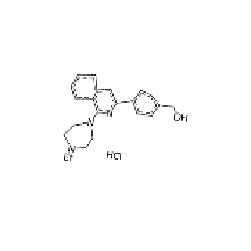 CCN1CCN(c2nc(-c3ccc(CO)cc3)cc3ccccc23)CC1.Cl